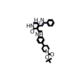 C=C(Nc1ccc(C2CCN(C(=O)OC(C)(C)C)CC2)cc1)c1c(/C=C(\N)c2ccccc2)cc[nH]c1=O